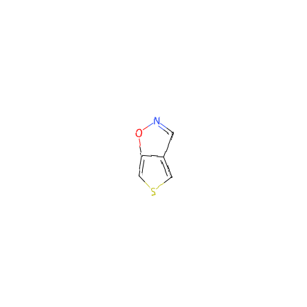 c1noc2cscc12